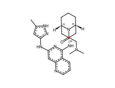 Cc1cc(Nc2cc3ncccc3c(N[C@H]3C[C@H]4CCC[C@@H](C3)N4C(=O)CN(C)C)n2)n[nH]1